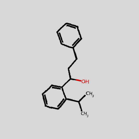 CC(C)c1ccccc1C(O)CCc1ccccc1